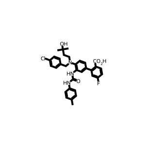 Cc1ccc(NC(=O)Nc2cc(-c3cc(F)ccc3C(=O)O)ccc2N(CCC(C)(C)O)Cc2ccc(Cl)cc2)cc1